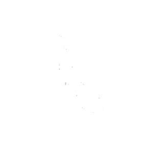 COCCN1c2nc(Nc3ccc(-n4cnc(C)c4)c(OC)c3)nc(CC(C)C)c2N(C)C(=O)C12CCOC2